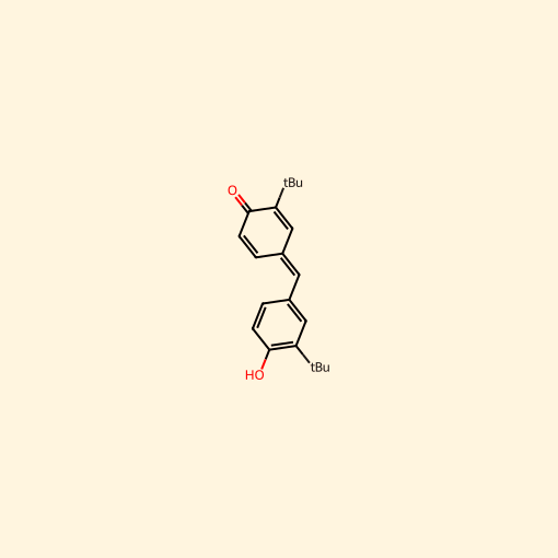 CC(C)(C)C1=CC(=Cc2ccc(O)c(C(C)(C)C)c2)C=CC1=O